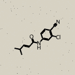 CC(C)C=CC(=O)Nc1ccc(C#N)c(Cl)c1